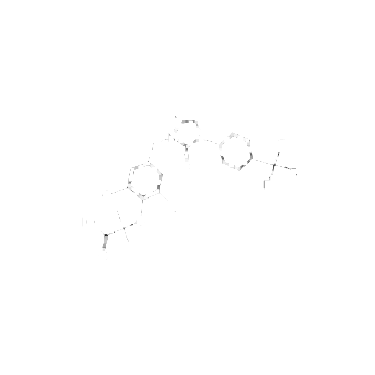 CC(C)(Oc1c(Cl)cc(Cn2ncn(-c3ccc(C(F)(F)F)cc3)c2=O)cc1Cl)C(=O)O